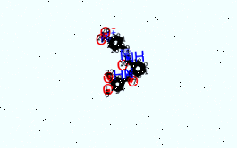 COc1ccc(C(=O)Nc2ccccc2C(=O)N/N=C/c2ccc([N+](=O)[O-])cc2)cc1OC